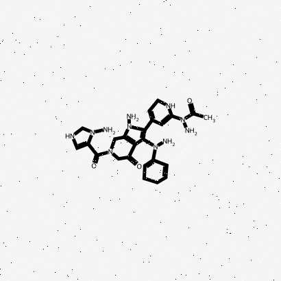 CC(=O)N(N)C1=CC(c2c(N(N)C3=CCCC=C3)c3c(n2N)CN(C(=O)C2=CNCN2N)CC3=O)=CCN1